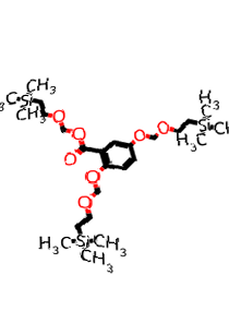 C[Si](C)(C)CCOCOC(=O)c1cc(OCOCC[Si](C)(C)C)ccc1OCOCC[Si](C)(C)C